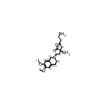 BCCCCC(N)(CCN1CCc2cc(OC)c(OC)cc2C1)C(=O)O